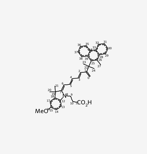 C=C(/C=C/C=C/C=C1\N(CCC(=O)O)c2ccc(OC)cc2C1(C)C)C(C)(C)c1c(C)c2ccccc2c2ccccc12